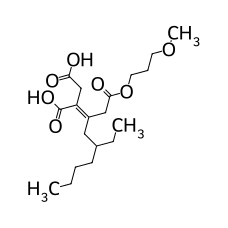 CCCCC(CC)CC(CC(=O)OCCCOC)=C(CC(=O)O)C(=O)O